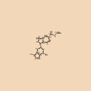 Cc1cnc2c(F)cc(-c3c[nH]c4nc(NCC(C)(C)C)ncc34)cn12